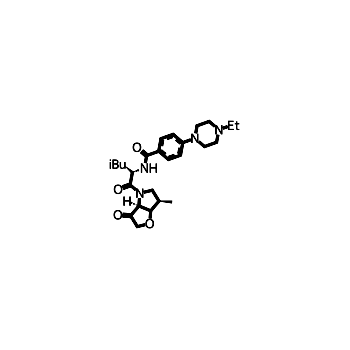 CC[C@H](C)[C@H](NC(=O)c1ccc(N2CCN(CC)CC2)cc1)C(=O)N1C[C@@H](C)C2OCC(=O)[C@H]21